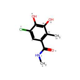 CNC(=O)c1cc(Cl)c(O)c(O)c1C